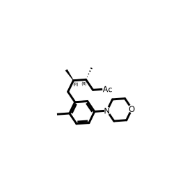 CC(=O)C[C@@H](C)[C@H](C)Cc1cc(N2CCOCC2)ccc1C